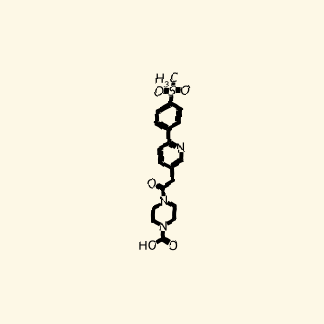 CS(=O)(=O)c1ccc(-c2ccc(CC(=O)N3CCN(C(=O)O)CC3)cn2)cc1